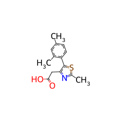 Cc1ccc(-c2sc(C)nc2CC(=O)O)c(C)c1